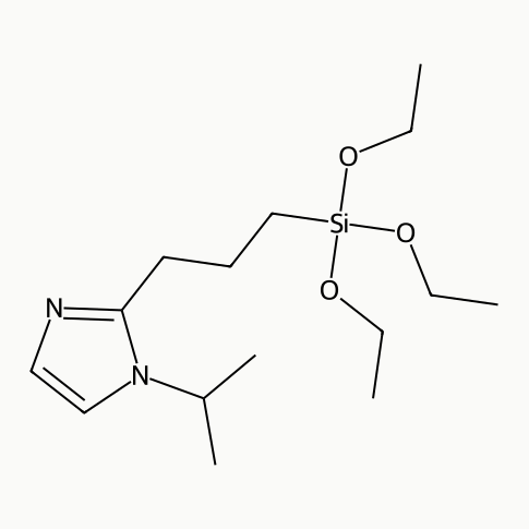 CCO[Si](CCCc1nccn1C(C)C)(OCC)OCC